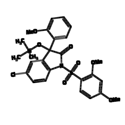 COc1ccc(S(=O)(=O)N2C(=O)C(O[Si](C)(C)C)(c3ccccc3OC)c3cc(Cl)ccc32)c(OC)c1